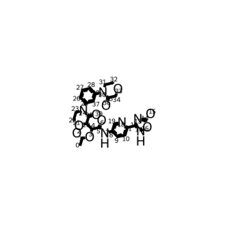 CC(=O)OC(C(=O)Nc1ccc(-c2nc(=O)o[nH]2)nc1)C1OCCN(c2cccc(N3CCOCC3=O)c2)C1=O